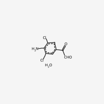 Nc1c(Cl)cc(C(=O)C=O)cc1Cl.O